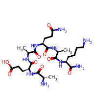 C[C@H](N)C(=O)N[C@@H](CCC(=O)O)C(=O)N[C@@H](C)C(=O)N[C@@H](CCC(N)=O)C(=O)N[C@@H](C)C(=O)N[C@@H](CCCCN)C(N)=O